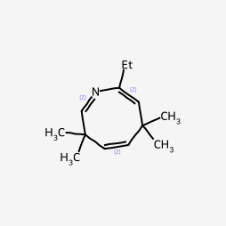 CCC1=C/C(C)(C)/C=C\C(C)(C)/C=N\1